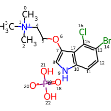 C[N+](C)(C)CCOc1c[nH]c2ccc(Br)c(Cl)c12.O=P([O-])(O)O